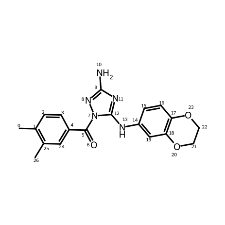 Cc1ccc(C(=O)n2nc(N)nc2Nc2ccc3c(c2)OCCO3)cc1C